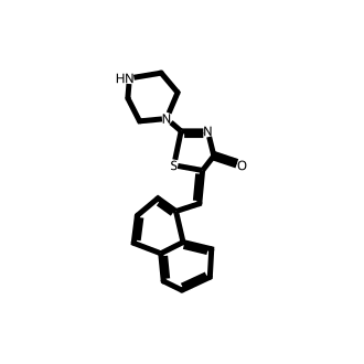 O=C1N=C(N2CCNCC2)SC1=Cc1cccc2ccccc12